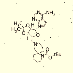 CC(C)(C)OC(=O)N1CCCCC12CCCN(C[C@H]1O[C@@H](n3ccc4c(N)ncnc43)[C@@H]3OC(C)(C)O[C@@H]31)C2